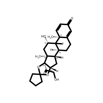 C[C@]12C=CC(=O)C=C1CC[C@H]1[C@@H]3C[C@@H]4OC5(CCCC5)O[C@@]4(C(=O)CO)[C@@]3(C)C[C@H](O)C12F